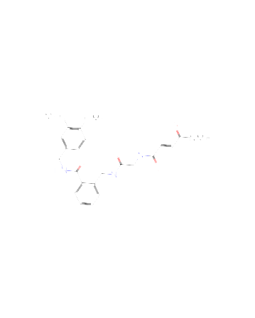 CNC(=O)/C=C/C(=O)NCC(=O)NCc1ccccc1C(=O)N[C@H](C)c1ccc(OC)c(OC)c1